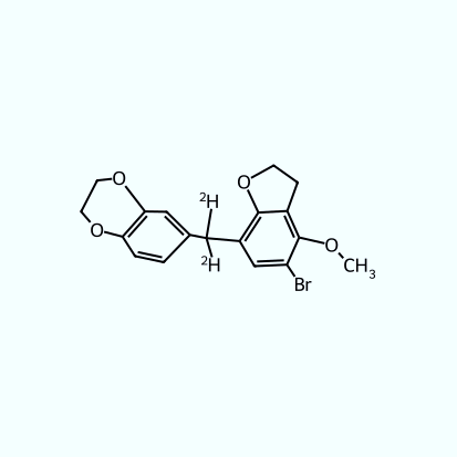 [2H]C([2H])(c1ccc2c(c1)OCCO2)c1cc(Br)c(OC)c2c1OCC2